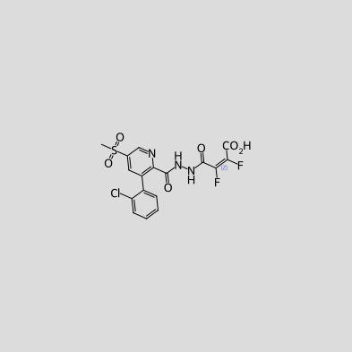 CS(=O)(=O)c1cnc(C(=O)NNC(=O)/C(F)=C(/F)C(=O)O)c(-c2ccccc2Cl)c1